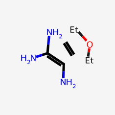 C=C.CCOCC.NC=C(N)N